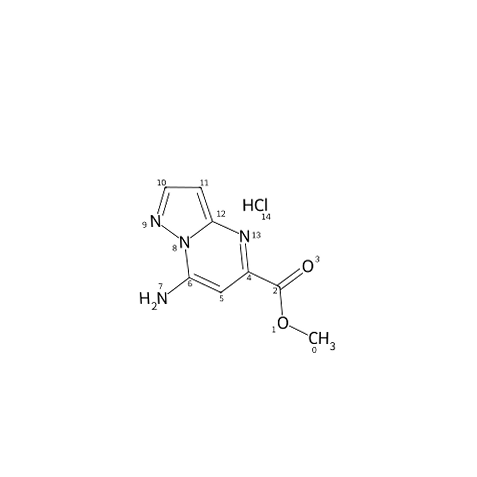 COC(=O)c1cc(N)n2nccc2n1.Cl